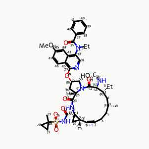 CC[C@@H]1C[C@H](C)CC/C=C\[C@@H]2C[C@@]2(C(=O)NS(=O)(=O)C2(C)CC2)NC(=O)[C@@H]2C[C@@H](Oc3ncc(N(CC)C(=O)c4ccccc4)c4cc(OC)ccc34)CN2C(=O)[C@H]1NC(=O)O